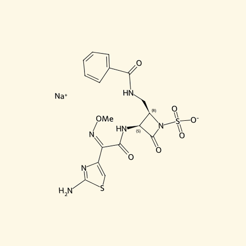 CON=C(C(=O)N[C@@H]1C(=O)N(S(=O)(=O)[O-])[C@@H]1CNC(=O)c1ccccc1)c1csc(N)n1.[Na+]